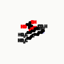 CCCCCCCC/C=C\CCCCCCCC(=O)O.O=C(O)CCCCCCC(=O)O.OCC(CO)(CO)CO